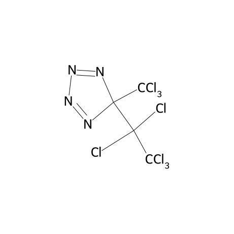 ClC(Cl)(Cl)C(Cl)(Cl)C1(C(Cl)(Cl)Cl)N=NN=N1